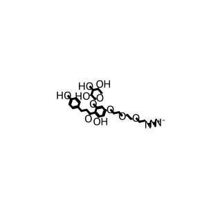 [N-]=[N+]=NCCOCCOCCOc1cc(O)c(C(=O)CCc2ccc(O)cc2)c(OC2OC[C@@H](O)C(O)[C@@H]2O)c1